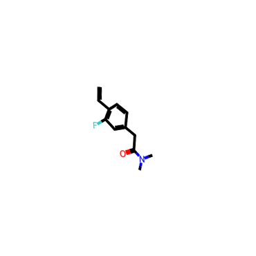 C=Cc1ccc(CC(=O)N(C)C)cc1F